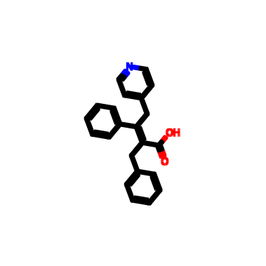 O=C(O)C(Cc1ccccc1)=C(Cc1ccncc1)c1ccccc1